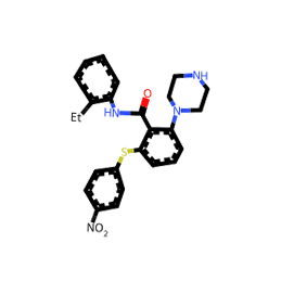 CCc1ccccc1NC(=O)c1c(Sc2ccc([N+](=O)[O-])cc2)cccc1N1CCNCC1